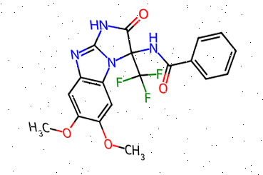 COc1cc2nc3n(c2cc1OC)C(NC(=O)c1ccccc1)(C(F)(F)F)C(=O)N3